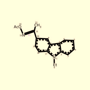 CCn1c2ccccc2c2cc(/C(C)=N/OC(C)=O)ccc21